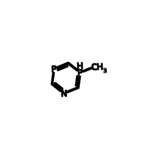 C[PH]1=CN=CP=C1